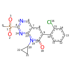 CS(=O)(=O)c1ncc2cc(-c3ccccc3Cl)c(=O)n(C3CC3)c2n1